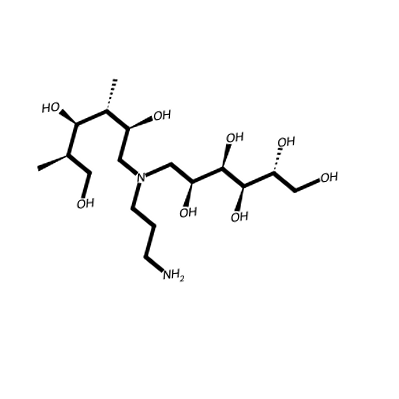 C[C@@H]([C@H](O)[C@H](C)CO)[C@@H](O)CN(CCCN)C[C@H](O)[C@@H](O)[C@H](O)[C@H](O)CO